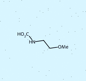 CO[CH]CNC(=O)O